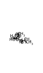 C/C=C(\C)c1cc(CC[C@](C)(C(=O)NO)S(C)(=O)=O)no1